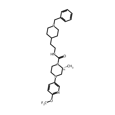 C[C@@H]1CN(c2ccc(OC(F)(F)F)nc2)CCN1C(=O)NCCC1CCN(Cc2ccccc2)CC1